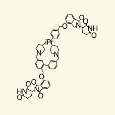 CC(C)C1CCN(Cc2ccc(COc3cccc4c3C(=O)N(C3CCC(=O)NC3=O)C4=O)c(-c3cccc(CN4CCC(Cc5ccc(COc6cccc7c6CN(C6CCC(=O)NC6=O)C7=O)cc5)CC4)c3)c2)CC1